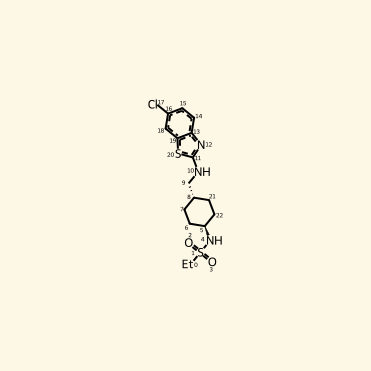 CCS(=O)(=O)N[C@H]1CC[C@H](CNc2nc3ccc(Cl)cc3s2)CC1